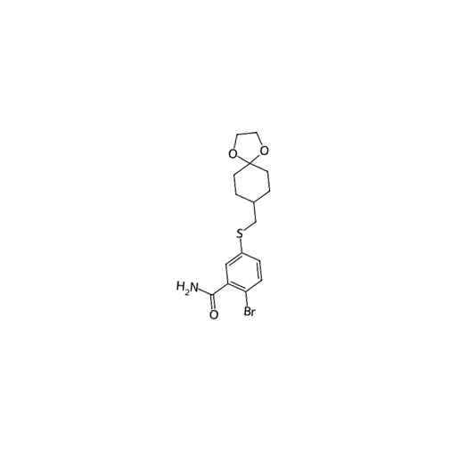 NC(=O)c1cc(SCC2CCC3(CC2)OCCO3)ccc1Br